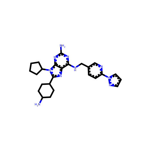 Nc1nc(NCc2ccc(-n3cccn3)nc2)c2nc(C3CCC(N)CC3)n(C3CCCC3)c2n1